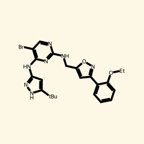 CCOc1ccccc1-c1cc(CNc2ncc(Br)c(Nc3cc(C(C)(C)C)[nH]n3)n2)on1